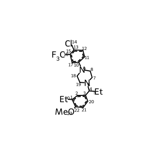 CCc1cc(C(CC)N2CCN(c3ccc(Cl)c(C(F)(F)F)c3)CC2)ccc1OC